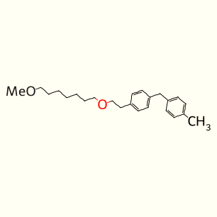 COCCCCCCCOCCc1ccc(Cc2ccc(C)cc2)cc1